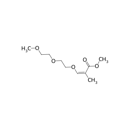 COCCOCCOC=C(C)C(=O)OC